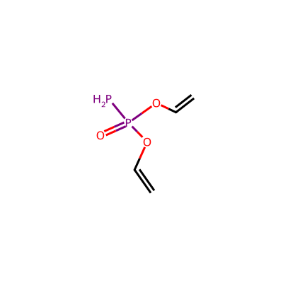 C=COP(=O)(P)OC=C